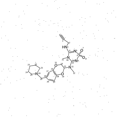 C#CCNC1=NS(=O)(=O)N=C(N(C)C2COc3cc(CN4CCCCC4)ccc3O2)N1C